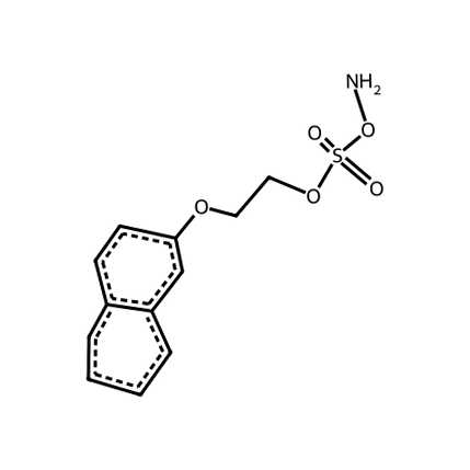 NOS(=O)(=O)OCCOc1ccc2ccccc2c1